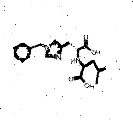 CC(C)CC(N[C@H](Cc1cn(Cc2ccccc2)cn1)C(=O)O)C(=O)O